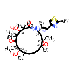 [2H]C1(C)C(=O)N[C@H](/C(=C/c2csc(C(C)C)n2)CC)C[C@]2(C)O[C@]2(CC)CCC[C@H](CC)[C@H](O)[C@@H](C)C(=O)C(C)(C(C)C)[C@H]1O